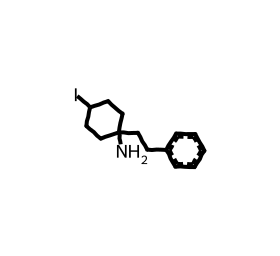 NC1(CCc2ccccc2)CCC(I)CC1